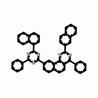 c1ccc(-c2nc(-c3ccc4ccc5c(-c6ccccc6)nc(-c6ccc7ccccc7c6)nc5c4c3)nc(-c3cccc4ccccc34)n2)cc1